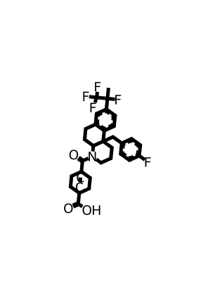 CC(F)(c1ccc2c(c1)CCC1N(C(=O)C34CCC(C(=O)O)(CC3)CC4)CCCC21Cc1ccc(F)cc1)C(F)(F)F